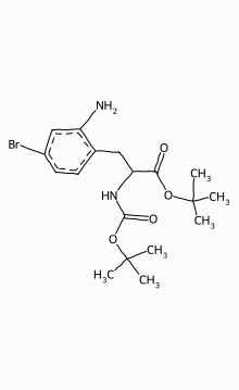 CC(C)(C)OC(=O)NC(Cc1ccc(Br)cc1N)C(=O)OC(C)(C)C